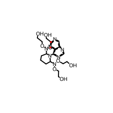 OCCON(OCCO)C1CCCC(N(OCCO)OCCO)N1c1ncnc2cncnc12